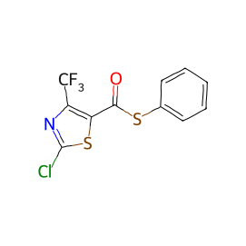 O=C(Sc1ccccc1)c1sc(Cl)nc1C(F)(F)F